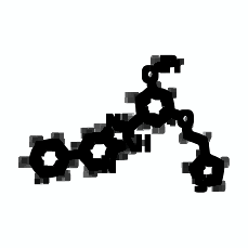 CC(C)Oc1cc(OCCc2ccsc2)cc(-c2nc3cc(-c4ccccc4)cnc3[nH]2)c1